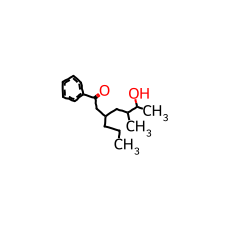 CCCC(CC(=O)c1ccccc1)CC(C)C(C)O